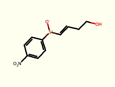 O=[N+]([O-])c1ccc([S+]([O-])C=CCCO)cc1